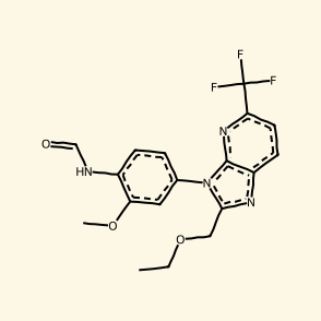 CCOCc1nc2ccc(C(F)(F)F)nc2n1-c1ccc(NC=O)c(OC)c1